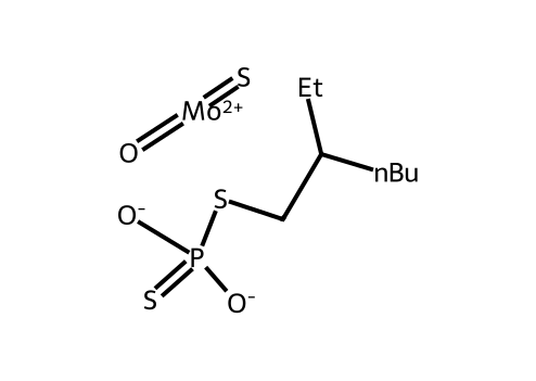 CCCCC(CC)CSP([O-])([O-])=S.[O]=[Mo+2]=[S]